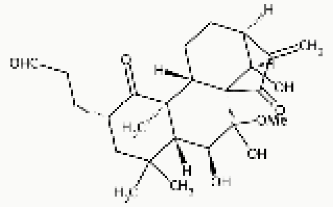 C=C1C(=O)[C@]23[C@H](O)[C@H]1CC[C@H]2[C@]1(C)C(=O)[C@@H](CCC=O)CC(C)(C)[C@H]1[C@H](O)C3(O)OC